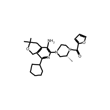 C[C@@H]1CN(c2nc(C3CCCCC3)c3c(c2N)CC(C)(C)OC3)CCN1C(=O)c1ccco1